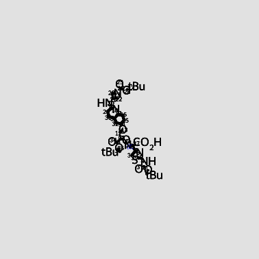 CC(C)(C)OC(=O)Nc1nc(/C(=N/O[C@@H](COc2ccc3nc(NC4CN(C(=O)OC(C)(C)C)C4)ccc3c2)C(=O)OC(C)(C)C)C(=O)O)cs1